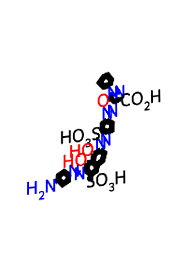 Nc1ccc(N=Nc2c(S(=O)(=O)O)cc3ccc(N=Nc4ccc(N=NC5C(=O)N(c6ccccc6)N=C5C(=O)O)cc4S(=O)(=O)O)c(O)c3c2O)cc1